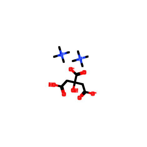 C[N+](C)(C)C.C[N+](C)(C)C.O=C([O-])CC(O)(CC(=O)O)C(=O)[O-]